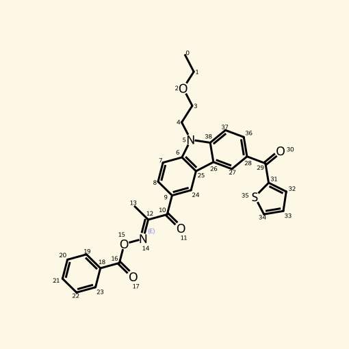 CCOCCn1c2ccc(C(=O)/C(C)=N/OC(=O)c3ccccc3)cc2c2cc(C(=O)c3cccs3)ccc21